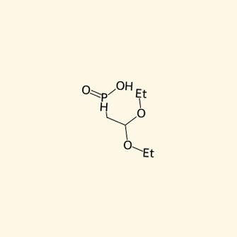 CCOC(C[PH](=O)O)OCC